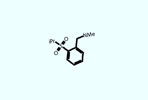 CNCc1ccccc1S(=O)(=O)C(C)C